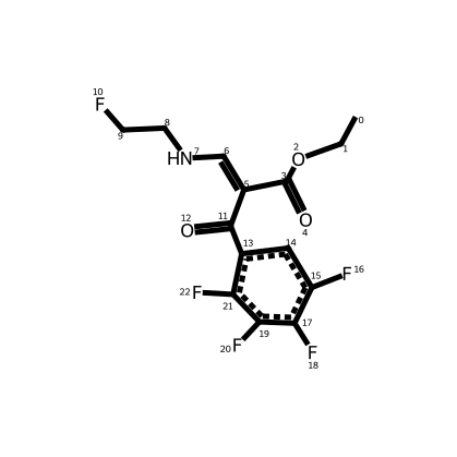 CCOC(=O)/C(=C/NCCF)C(=O)c1cc(F)c(F)c(F)c1F